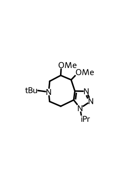 COC1CN(C(C)(C)C)CCc2c(nnn2C(C)C)C1OC